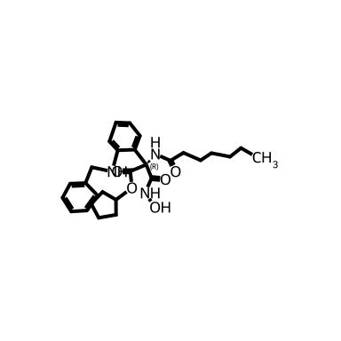 CCCCCCC(=O)N[C@](C(=O)NO)(C(=O)OC1CCCC1)c1ccccc1NCc1ccccc1